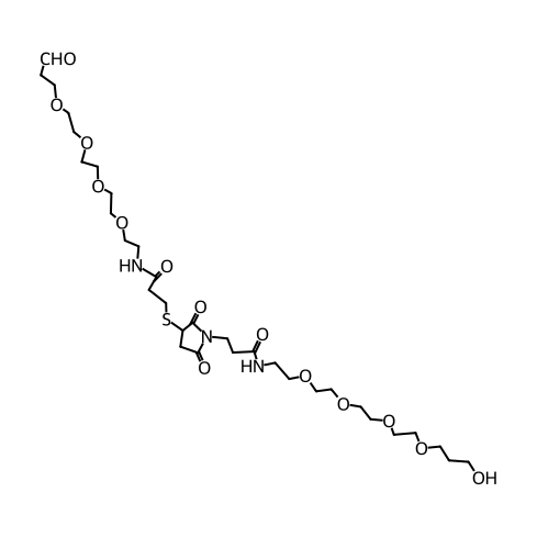 O=CCCOCCOCCOCCOCCNC(=O)CCSC1CC(=O)N(CCC(=O)NCCOCCOCCOCCOCCCO)C1=O